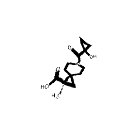 C[C@@]1(C(=O)O)CC12CCN(C(=O)C1(O)CC1)CC2